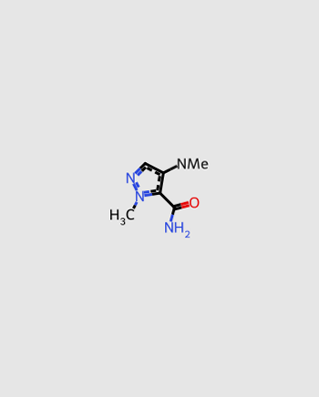 CNc1cnn(C)c1C(N)=O